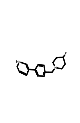 FC1CCN(Cc2ccc(C3=CNCC=C3)cc2)CC1